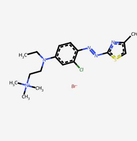 CCN(CC[N+](C)(C)C)c1ccc(N=Nc2nc(C)cs2)c(Cl)c1.[Br-]